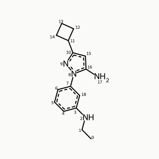 CCNc1cccc(-n2nc(C3CCC3)cc2N)c1